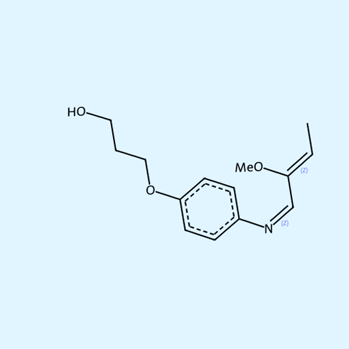 C/C=C(/C=N\c1ccc(OCCCO)cc1)OC